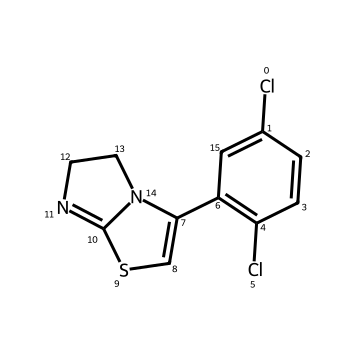 Clc1ccc(Cl)c(C2=CSC3=NCCN23)c1